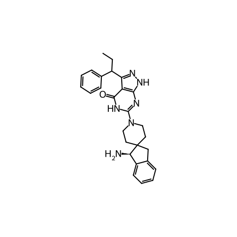 CCC(c1ccccc1)c1n[nH]c2nc(N3CCC4(CC3)Cc3ccccc3[C@H]4N)[nH]c(=O)c12